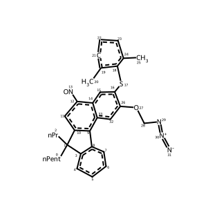 CCCCCC1(CCC)c2ccccc2-c2c1cc(N=O)c1cc(Sc3c(C)cccc3C)c(OCN=[N+]=[N-])cc21